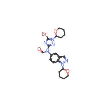 O=CN(c1ccc2c(cnn2C2CCCCO2)c1)c1nc(Br)n(C2CCCCO2)n1